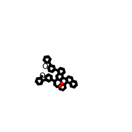 C1#Cc2c(cc3c(-c4ccc5oc6ccccc6c5c4)cccc3c2-c2ccc3ccccc3c2C2=CC=CCC2)C(c2ccc3oc4ccccc4c3c2)=CC1